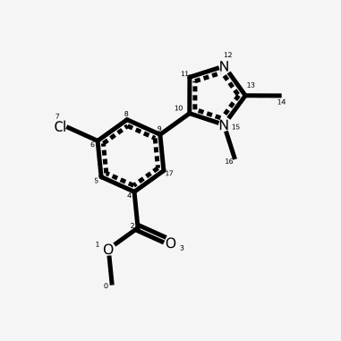 COC(=O)c1cc(Cl)cc(-c2cnc(C)n2C)c1